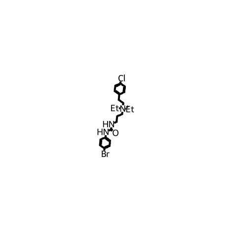 CC[N+](CC)(CCCNC(=O)Nc1ccc(Br)cc1)CCc1ccc(Cl)cc1